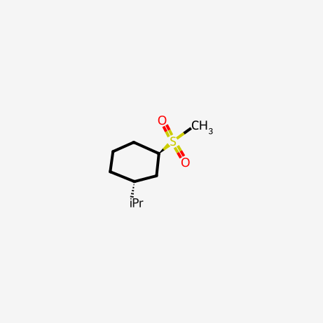 CC(C)[C@@H]1CCC[C@@H](S(C)(=O)=O)C1